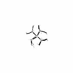 CCN=P(N(C)C)(N(C)C)N(C)C